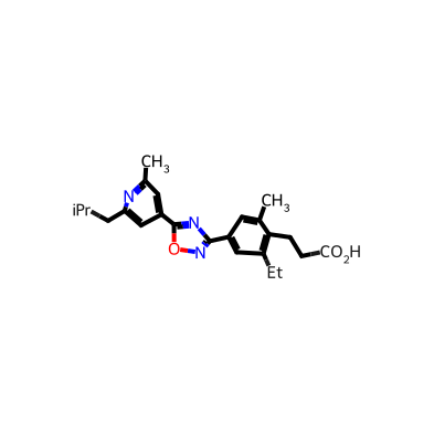 CCc1cc(-c2noc(-c3cc(C)nc(CC(C)C)c3)n2)cc(C)c1CCC(=O)O